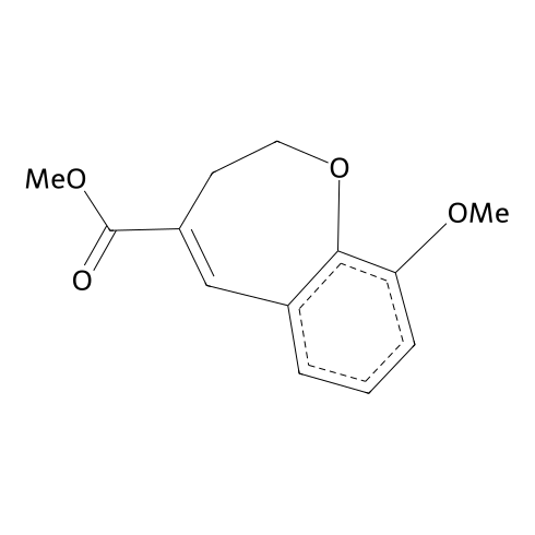 COC(=O)C1=Cc2cccc(OC)c2OCC1